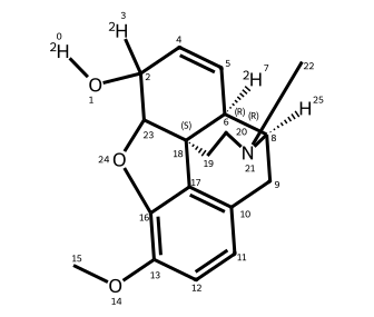 [2H]OC1([2H])C=C[C@@]2([2H])[C@H]3Cc4ccc(OC)c5c4[C@@]2(CCN3C)C1O5